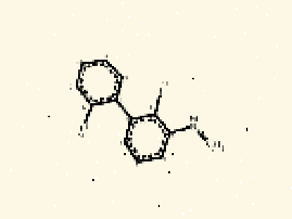 CNc1cccc(-c2ccccc2Cl)c1F